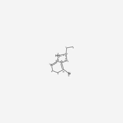 CCc1cc2c([nH]1)=NCCC=2Br